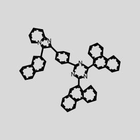 c1ccc2cc(-c3c(-c4ccc(-c5nc(-c6cc7ccccc7c7ccccc67)nc(-c6cc7ccccc7c7ccccc67)n5)cc4)nc4ccccn34)ccc2c1